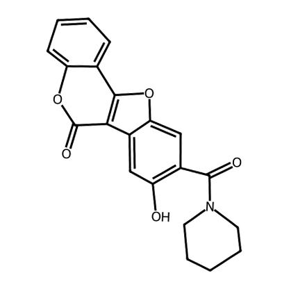 O=C(c1cc2oc3c4ccccc4oc(=O)c3c2cc1O)N1CCCCC1